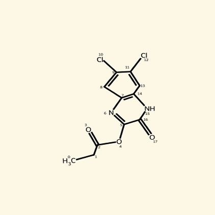 CCC(=O)Oc1nc2cc(Cl)c(Cl)cc2[nH]c1=O